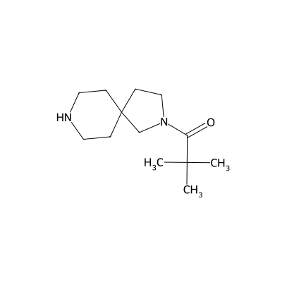 CC(C)(C)C(=O)N1CCC2(CCNCC2)C1